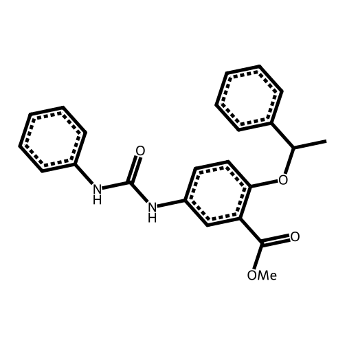 COC(=O)c1cc(NC(=O)Nc2ccccc2)ccc1OC(C)c1ccccc1